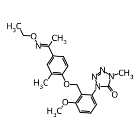 CCON=C(C)c1ccc(OCc2c(OC)cccc2-n2nnn(C)c2=O)c(C)c1